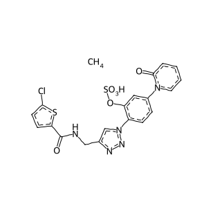 C.O=C(NCc1cn(-c2ccc(-n3ccccc3=O)cc2OS(=O)(=O)O)nn1)c1ccc(Cl)s1